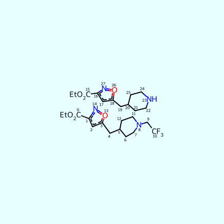 CCOC(=O)c1cc(CC2CCN(CC(F)(F)F)CC2)on1.CCOC(=O)c1cc(CC2CCNCC2)on1